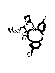 COCC(CO)N1CC[C@H]1CN1CCCCc2cc(Cl)ccc2COc2ccc(I)cc21